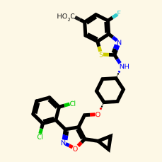 O=C(O)c1cc(F)c2nc(N[C@H]3CC[C@@H](OCc4c(-c5c(Cl)cccc5Cl)noc4C4CC4)CC3)sc2c1